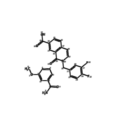 COc1cccc(C(N)=O)c1.O=C(O)c1ccc2ccn(Cc3ccc(F)c(F)c3)c(=O)c2c1